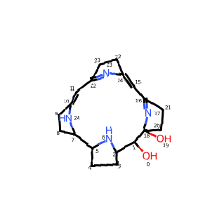 OC1C2CCC(N2)C2CCC(=CC3=NC(=CC4=NC1(O)CC4)CC3)N2